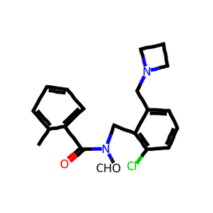 Cc1ccccc1C(=O)N(C=O)Cc1c(Cl)cccc1CN1CCC1